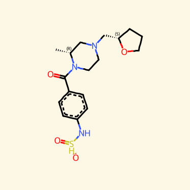 C[C@@H]1CN(C[C@@H]2CCCO2)CCN1C(=O)c1ccc(N[SH](=O)=O)cc1